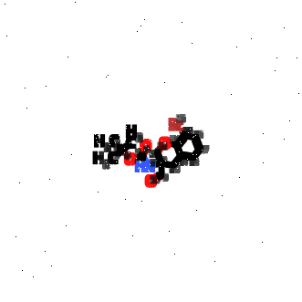 CC(C)(C)OC(=O)NC1(C=O)COc2c(Br)cccc2C1